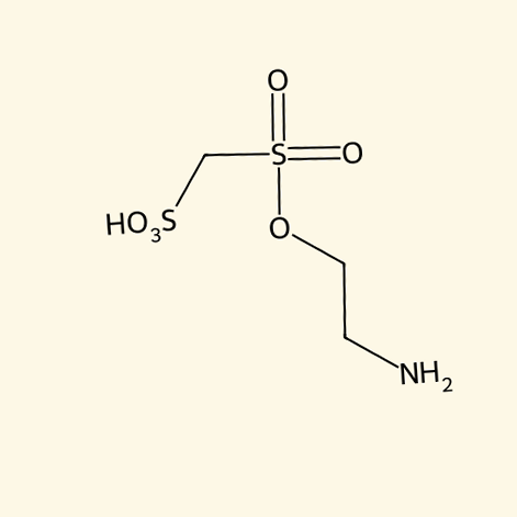 NCCOS(=O)(=O)CS(=O)(=O)O